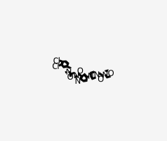 CN(Cc1ccc(Cl)c(Cl)c1)C(=O)Cn1cnc2ccc(N3CCN(CC(=O)N4CCOCC4)CC3)cc2c1=O